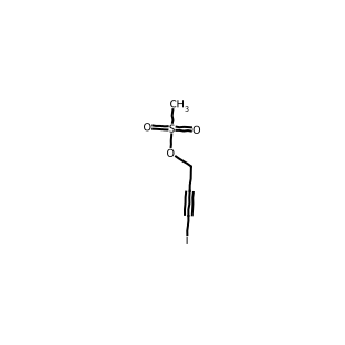 CS(=O)(=O)OCC#CI